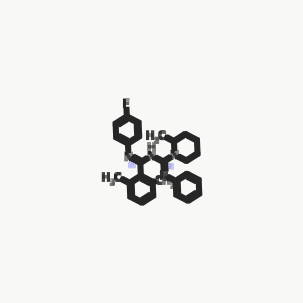 Cc1cccc(C)c1/C(=N/c1ccc(F)cc1)N/C(=N/c1ccccc1)N1CCCCC1C